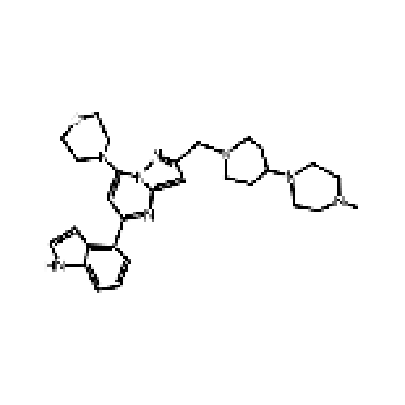 CN1CCN(C2CCN(Cc3cc4nc(-c5cccc6[nH]ccc56)cc(N5CCOCC5)n4n3)CC2)CC1